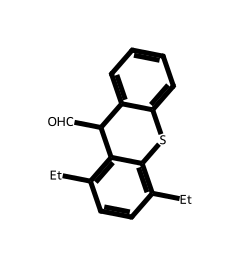 CCc1ccc(CC)c2c1Sc1ccccc1C2C=O